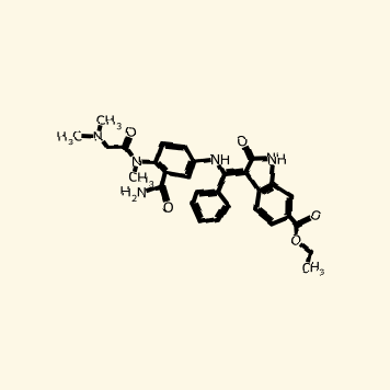 CCOC(=O)c1ccc2c(c1)NC(=O)/C2=C(\Nc1ccc(N(C)C(=O)CN(C)C)c(C(N)=O)c1)c1ccccc1